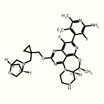 Cc1nc(N)c(F)c(-c2nc3c4c(nc(OCC5(CN6C[C@@H]7C[C@H]6CO7)CC5)nc4c2F)N2CCNC[C@H]2[C@H](C)O3)c1C(F)(F)F